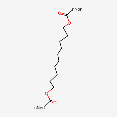 CCCCCCCCCC(=O)OCCCCCCCCCCOC(=O)CCCCCCCCC